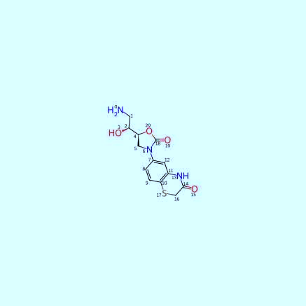 NC[C@H](O)[C@@H]1CN(c2ccc3c(c2)NC(=O)CS3)C(=O)O1